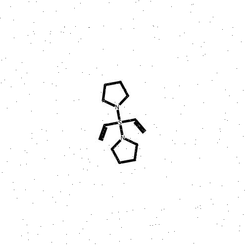 C=CS(C=C)(N1CCCC1)N1CCCC1